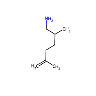 C=C(C)CCC(C)CN